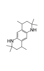 CC1CC(C)(C)Nc2cc3c(cc21)NC(C)(C)CC3C